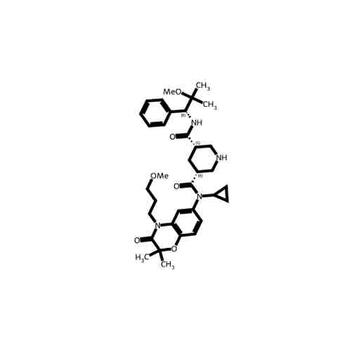 COCCCN1C(=O)C(C)(C)Oc2ccc(N(C(=O)[C@H]3CNC[C@@H](C(=O)N[C@H](c4ccccc4)C(C)(C)OC)C3)C3CC3)cc21